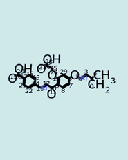 C=C(C)/C=C/Oc1ccc(C(=O)/C=C/c2ccc(C(=O)O)cc2)c(OCC(=O)O)c1